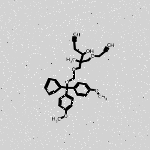 C#CCOCC(C)(COCOC(c1ccccc1)(c1ccc(OC)cc1)c1ccc(OC)cc1)C(O)CC#C